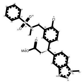 COC(=O)C[C@H](c1ccc(Cl)c(CN(C)S(=O)(=O)c2ccccc2)c1)c1ccc2c(c1)nnn2C